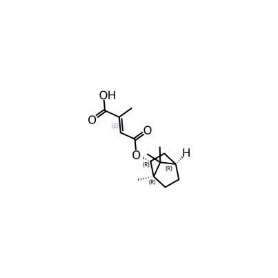 C/C(=C\C(=O)O[C@@H]1C[C@H]2CC[C@]1(C)C2(C)C)C(=O)O